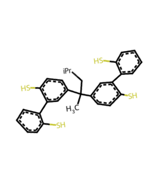 CC(C)CC(C)(c1ccc(S)c(-c2ccccc2S)c1)c1ccc(S)c(-c2ccccc2S)c1